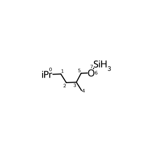 CC(C)CCC(C)CO[SiH3]